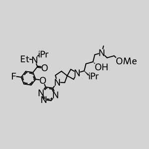 CCN(C(=O)c1cc(F)ccc1Oc1nncnc1N1CCC2(C1)CN([C@@H](C[C@@H](O)CN(C)CCOC)C(C)C)C2)C(C)C